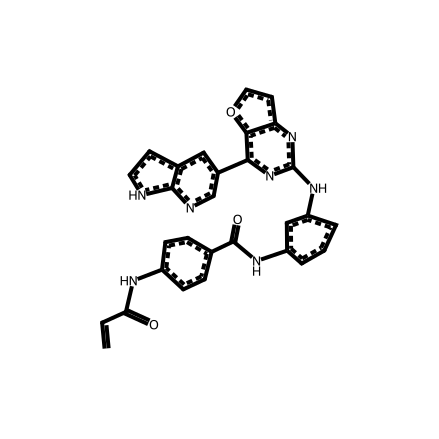 C=CC(=O)Nc1ccc(C(=O)Nc2cccc(Nc3nc(-c4cnc5[nH]ccc5c4)c4occc4n3)c2)cc1